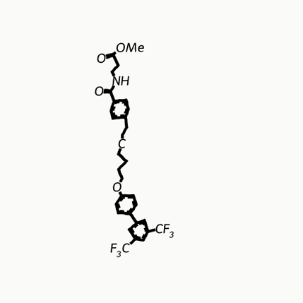 COC(=O)CCNC(=O)c1ccc(CCCCCCCOc2ccc(-c3cc(C(F)(F)F)cc(C(F)(F)F)c3)cc2)cc1